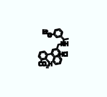 CCOc1cccc(C(C)NCc2cc(-c3cccc(C(=O)O)c3C)c3ccccc3c2)c1.Cl